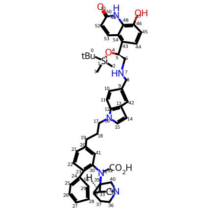 CC(C)(C)[Si](C)(C)O[C@H](CNCc1ccc2c(ccn2CCCc2ccc(-c3ccccc3)c(N(C(=O)O)[C@H]3CN4CCC3CC4)c2)c1)c1ccc(O)c2[nH]c(=O)ccc12